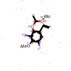 C=Cc1cc(I)c(OC)c(I)c1OC(C)OC(C)(C)C